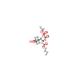 CCCCOC(=O)C[C@@H](CC(=O)OC(=O)OCC)CC(C)(C)[Si](C)(C)O